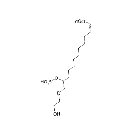 CCCCCCCC/C=C\CCCCCCCCC(COCCO)OS(=O)(=O)O